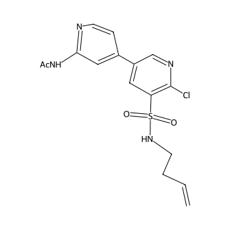 C=CCCNS(=O)(=O)c1cc(-c2ccnc(NC(C)=O)c2)cnc1Cl